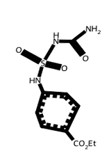 CCOC(=O)c1ccc(NS(=O)(=O)NC(N)=O)cc1